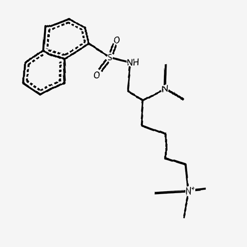 CN(C)C(CCCC[N+](C)(C)C)CNS(=O)(=O)c1cccc2ccccc12